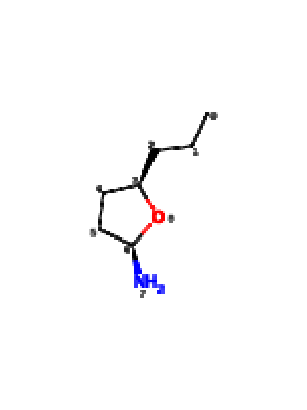 CCC[C@@H]1CC[C@H](N)O1